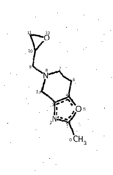 Cc1nc2c(o1)CCN(CC1CO1)C2